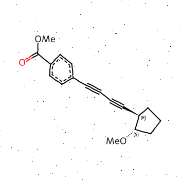 COC(=O)c1ccc(C#CC#C[C@H]2CCC[C@@H]2OC)cc1